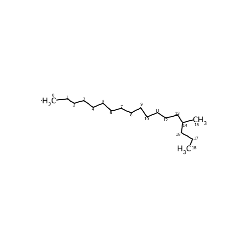 [CH2]CCCCCCCCCCCCCC(C)CCC